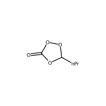 CCC[C]1OOC(=O)O1